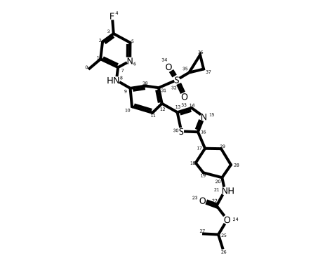 Cc1cc(F)cnc1Nc1ccc(-c2cnc(C3CCC(NC(=O)OC(C)C)CC3)s2)c(S(=O)(=O)C2CC2)c1